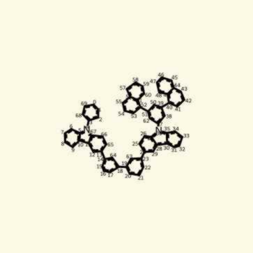 c1ccc(-n2c3ccccc3c3cc(-c4cccc(-c5cccc(-c6ccc7c(c6)c6ccccc6n7-c6cc(-c7cccc8ccccc78)cc(-c7cccc8ccccc78)c6)c5)c4)ccc32)cc1